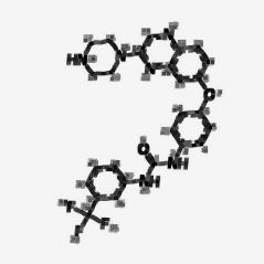 O=C(Nc1ccc(Oc2ccc3ncc(N4CCNCC4)nc3c2)cc1)Nc1cccc(C(F)(F)F)c1